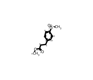 COC(=O)CCc1ccc([S+](C)[O-])cc1